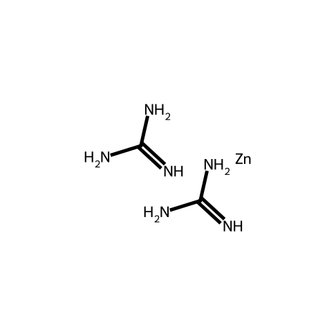 N=C(N)N.N=C(N)N.[Zn]